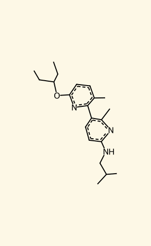 CCC(CC)Oc1ccc(C)c(-c2ccc(NCC(C)C)nc2C)n1